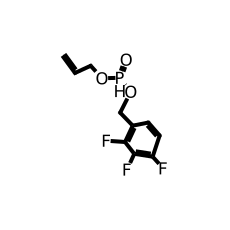 C=CCO[PH](=O)OCc1ccc(F)c(F)c1F